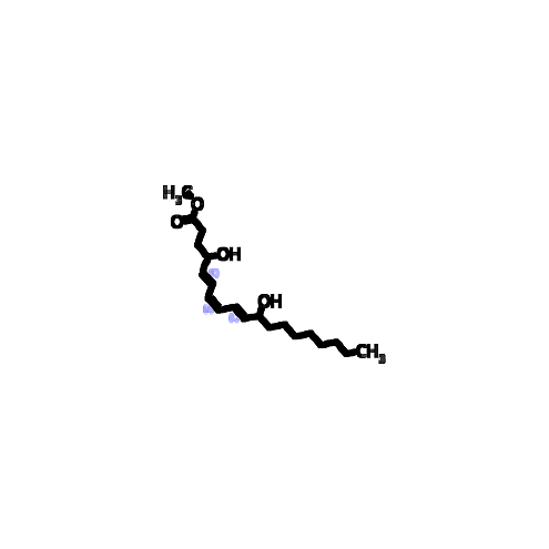 CCCCCCCCC(O)/C=C/C=C\C=C\C(O)CCC(=O)OC